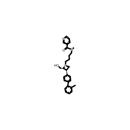 Cc1ccccc1-c1ccc([C@@H]2CN(CCCCN(C)C(=O)c3cccnc3)[C@@H]2CO)cc1